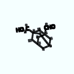 O=CC12CC3CC(C1)CC(C(=O)O)(C3)C2